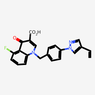 C=Cc1cnn(-c2ccc(Cn3cc(C(=O)O)c(=O)c4c(F)cccc43)cc2)c1